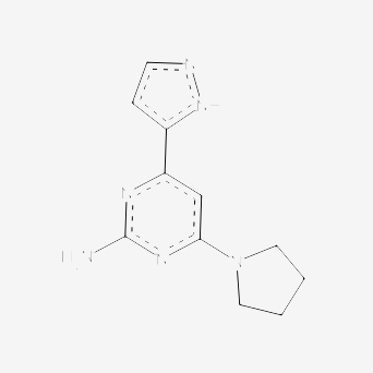 Nc1nc(-c2ccn[nH]2)cc(N2C[CH]CC2)n1